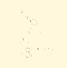 CC(c1cccc(N2CC[C@@H](N)C2)c1)S(=O)(=O)NC1C=C(F)C(c2cc3c(N4CCOCC4)ncnc3n2COCC[Si](C)(C)C)=CC1